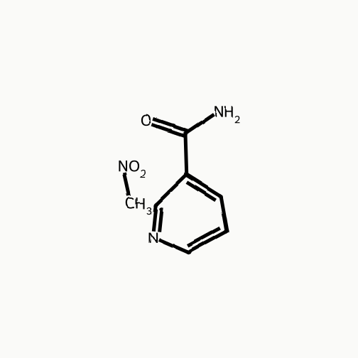 C[N+](=O)[O-].NC(=O)c1cccnc1